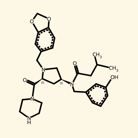 CC(C)CC(=O)N(Cc1cccc(O)c1)[C@H]1C[C@@H](C(=O)N2CCNCC2)N(Cc2ccc3c(c2)OCO3)C1